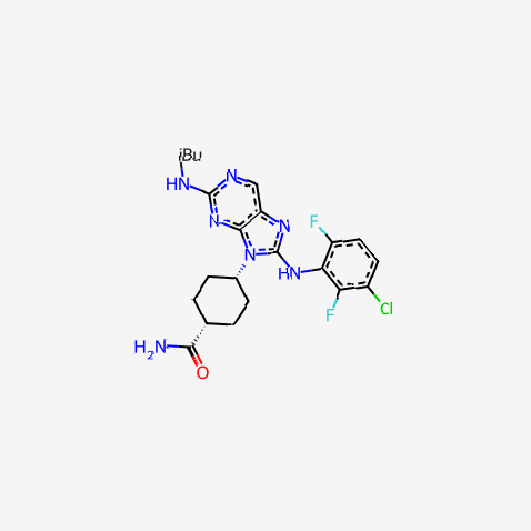 CCC(C)Nc1ncc2nc(Nc3c(F)ccc(Cl)c3F)n([C@H]3CC[C@@H](C(N)=O)CC3)c2n1